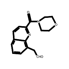 O=CCc1cccc2ccc(C(=O)N3CCOCC3)nc12